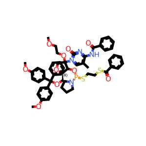 COCCOC1(n2cc(C)c(NC(=O)c3ccccc3)nc2=O)CO[C@H](COC(c2ccccc2)(c2ccc(OC)cc2)c2ccc(OC)cc2)C1OP(SCCSC(=O)c1ccccc1)N1CCCC1